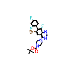 CC(C)(C)OC(=O)N1CCN(c2ncnc3c(F)c(-c4ccc(F)cc4F)c(Br)cc23)CC1